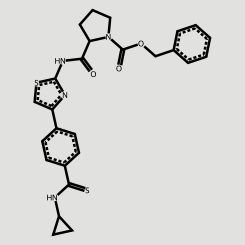 O=C(Nc1nc(-c2ccc(C(=S)NC3CC3)cc2)cs1)C1CCCN1C(=O)OCc1ccccc1